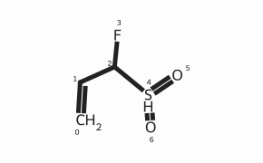 C=CC(F)[SH](=O)=O